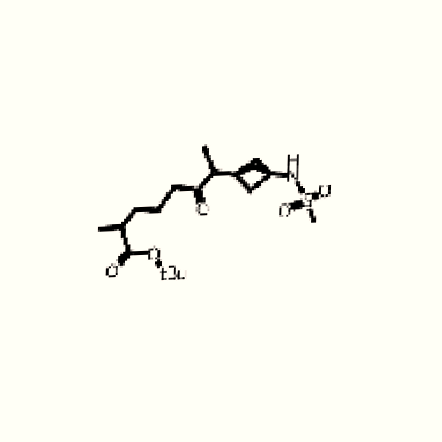 CC(CCCC(=O)C(C)C12CC(NS(C)(=O)=O)(C1)C2)C(=O)OC(C)(C)C